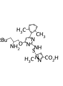 Cc1cccc(C)c1-c1cc(OCC(N)CC(C)(C)C)nc(NSc2cc(C(=O)O)nn2C)n1